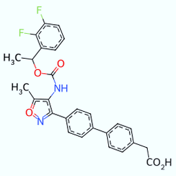 Cc1onc(-c2ccc(-c3ccc(CC(=O)O)cc3)cc2)c1NC(=O)OC(C)c1cccc(F)c1F